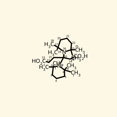 CC1(C)CCCC(C)(C)N1C(CCC(=O)O)(CC(=O)O)N1C(C)(C)CCCC1(C)C